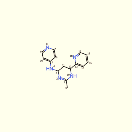 CC1=NC(Nc2ccncc2)CC(c2ccccn2)N1